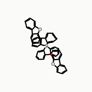 c1ccc([Si](c2ccccc2)(c2ccccc2-c2cccc3c2oc2ccccc23)c2ccccc2-c2cccc3c2oc2ccccc23)cc1